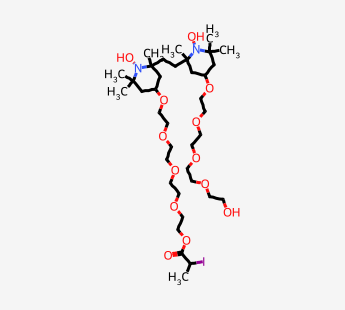 CC(I)C(=O)OCCOCCOCCOCCOC1CC(C)(C)N(O)C(C)(CCC2(C)CC(OCCOCCOCCOCCO)CC(C)(C)N2O)C1